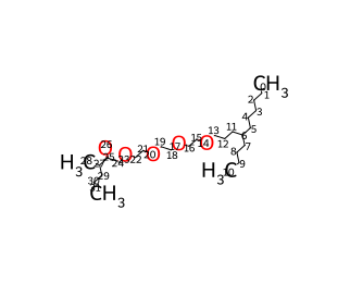 CCCCCCC(CCCC)CCCOCCOCCOCCOCC(=O)C(C)CCC